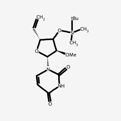 C=C[C@H]1O[C@@H](n2ccc(=O)[nH]c2=O)[C@H](OC)C1O[Si](C)(C)C(C)(C)C